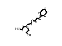 OCCN(CCO)CCOCCOC1CCCCO1